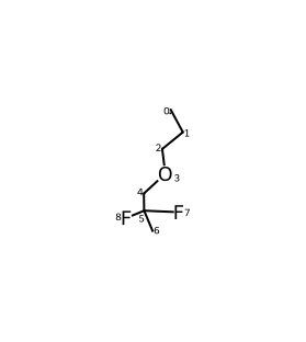 [CH2]CCOCC(C)(F)F